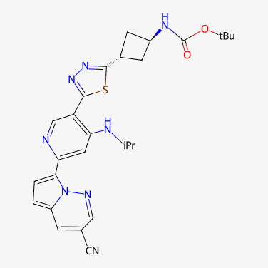 CC(C)Nc1cc(-c2ccc3cc(C#N)cnn23)ncc1-c1nnc([C@H]2C[C@H](NC(=O)OC(C)(C)C)C2)s1